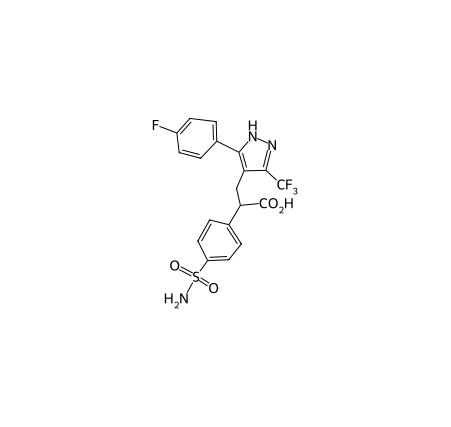 NS(=O)(=O)c1ccc(C(Cc2c(C(F)(F)F)n[nH]c2-c2ccc(F)cc2)C(=O)O)cc1